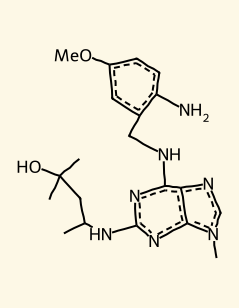 COc1ccc(N)c(CNc2nc(NC(C)CC(C)(C)O)nc3c2ncn3C)c1